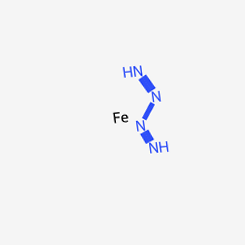 N=NN=N.[Fe]